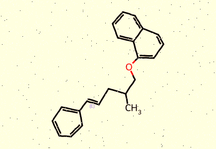 CC(C/C=C/c1ccccc1)COc1cccc2ccccc12